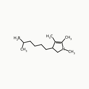 BC(C)CCCCC1CN(C)C(C)=C1C